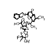 Cc1cc(C(C)Nc2sc(Cl)nc2C(=O)O)c2oc(N3Cc4ccccc4C3)cc(=O)c2c1.O=C(O)C(F)(F)F